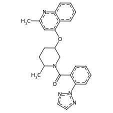 Cc1cc(OC2CCC(C)N(C(=O)c3ccccc3-n3nccn3)C2)c2ccccc2n1